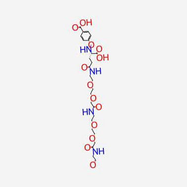 O=CCNC(=O)COCCOCCNC(=O)COCCOCCNC(=O)CC[C@H](NOc1ccc(C(=O)O)cc1)C(=O)O